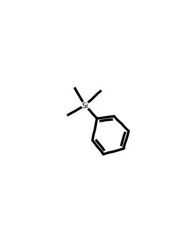 C[Si](C)(C)c1cc[c]cc1